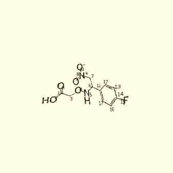 O=C(O)CONC(C[N+](=O)[O-])c1ccc(F)cc1